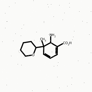 CC1(C2CCCCO2)C=CC=C(C(=O)O)C1N